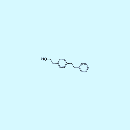 OCCc1ccc(CCc2ccccc2)cc1